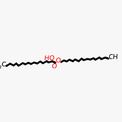 CCCCCCCCCCCCCCCCCCOC(=O)C(O)CCCCCCCCCCCCCCCC